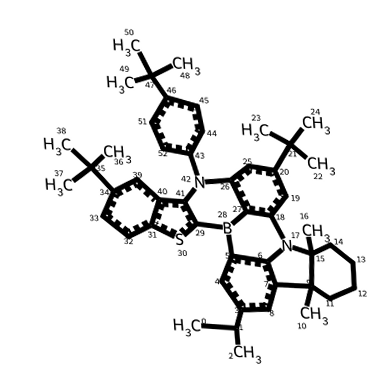 CC(C)c1cc2c3c(c1)C1(C)CCCCC1(C)N3c1cc(C(C)(C)C)cc3c1B2c1sc2ccc(C(C)(C)C)cc2c1N3c1ccc(C(C)(C)C)cc1